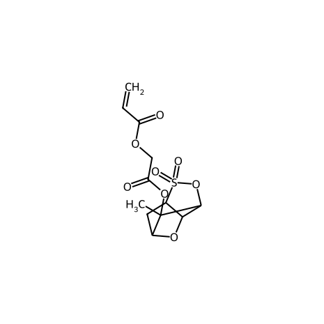 C=CC(=O)OCC(=O)OC1(C)C2CC3C(O2)C1OS3(=O)=O